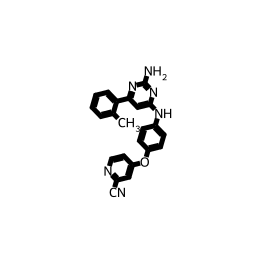 Cc1ccccc1-c1cc(Nc2ccc(Oc3ccnc(C#N)c3)cc2)nc(N)n1